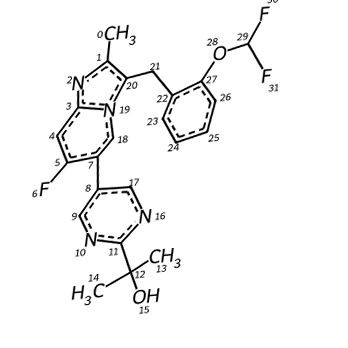 Cc1nc2cc(F)c(-c3cnc(C(C)(C)O)nc3)cn2c1Cc1ccccc1OC(F)F